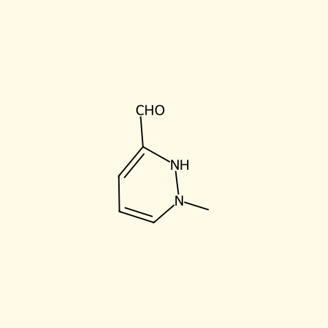 CN1C=CC=C(C=O)N1